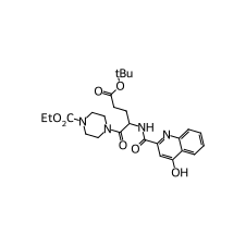 CCOC(=O)N1CCN(C(=O)C(CCC(=O)OC(C)(C)C)NC(=O)c2cc(O)c3ccccc3n2)CC1